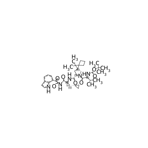 CC(C)[C@H](NC(=O)OC(C)(C)C)C(=O)N1C[C@]2(C[C@H]1C(=O)N[C@]1(C(=O)NS(=O)(=O)c3cccc4cc[nH]c34)C[C@H]1C1CC1)C(C)(C)C21CCC1